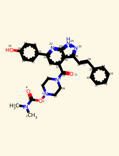 CN(C)C(=O)ON1CCN(C(=O)c2cc(-c3ccc(O)cc3)nc3[nH]nc(/C=C/c4ccccc4)c23)CC1